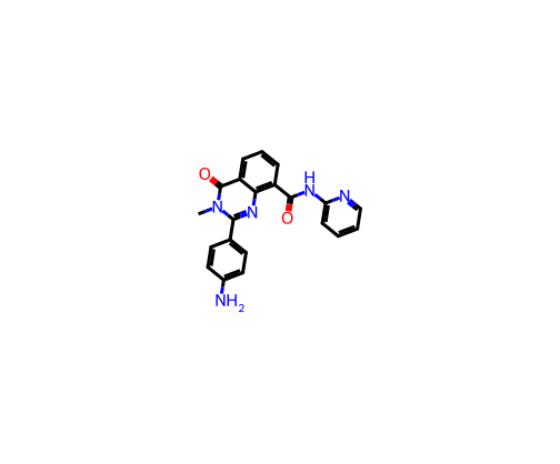 Cn1c(-c2ccc(N)cc2)nc2c(C(=O)Nc3ccccn3)cccc2c1=O